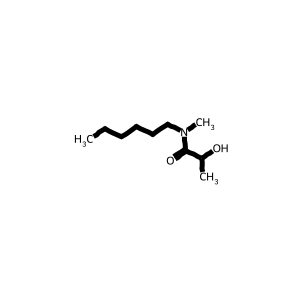 CCCCCCN(C)C(=O)C(C)O